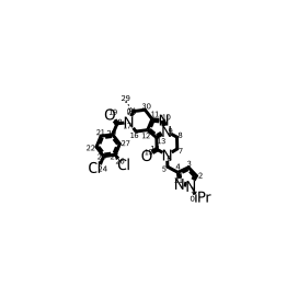 CC(C)n1ccc(CN2CCn3nc4c(c3C2=O)CN(C(=O)c2ccc(Cl)c(Cl)c2)[C@H](C)C4)n1